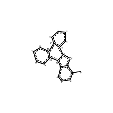 Cc1cccc2c1oc1c3ccccc3c3ccccc3c21